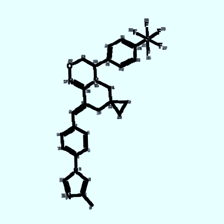 Cc1cn(-c2ccc(/C=C3\CC4(CC4)CN4C3=NOCC4c3ccc(S(F)(F)(F)(F)F)cc3)cc2)cn1